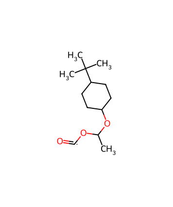 CC(O[C]=O)OC1CCC(C(C)(C)C)CC1